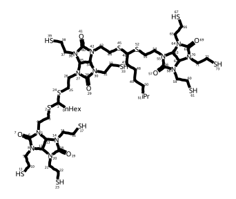 CCCCCCC(SCCN1C(=O)N(CCS)C2C1N(CCS)C(=O)N2CCS)SCCN1C(=O)N(CCS)C2C1N(CCS)C(=O)N2CCSC(CCCCC(C)C)SCCN1C(=O)N(CCS)C2C1N(CCS)C(=O)N2CCS